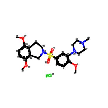 COc1ccc(S(=O)(=O)N2CCc3c(OC)ccc(OC)c3C2)cc1N1CCN(C)CC1.Cl